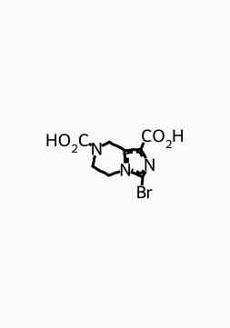 O=C(O)c1nc(Br)n2c1CN(C(=O)O)CC2